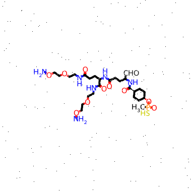 CP(=O)(S)O[C@H]1CC[C@@H](C(=O)NC(C=O)CCC(=O)NC(CCC(=O)NCCOCCON)C(=O)NCCOCCON)CC1